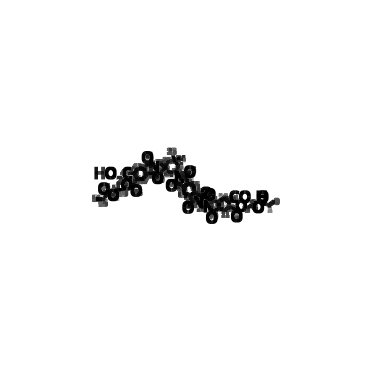 C=CC(=O)OCCOC(=O)c1cc2c(cc1C(=O)O)C(=O)N(Cn1c(=O)c3cc4c(=O)n(C5CC(C)(C)CC(C)(CN6C(=O)c7cc(C(=O)O)c(C(=O)OCCOC(=O)C=C)cc7C6=O)C5)c(=O)c4cc3c1=O)C2=O